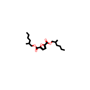 CCCCC(C)COC(=O)c1ccc(C(=O)OCC(C)CCCC)o1